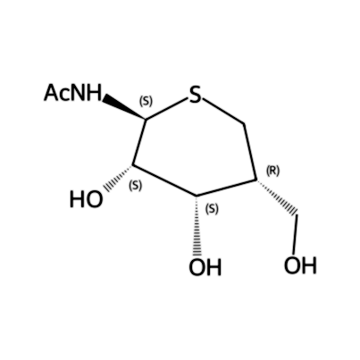 CC(=O)N[C@H]1SC[C@H](CO)[C@H](O)[C@@H]1O